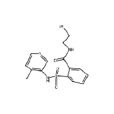 Cc1ccncc1NS(=O)(=O)c1ccccc1C(=O)NCCC(C)C